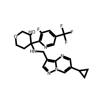 OC1COCCC1(NCc1cnn2cc(C3CC3)cnc12)c1ncc(C(F)(F)F)cc1F